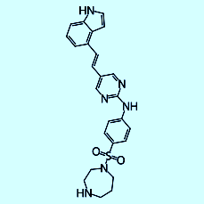 O=S(=O)(c1ccc(Nc2ncc(/C=C/c3cccc4[nH]ccc34)cn2)cc1)N1CCCNCC1